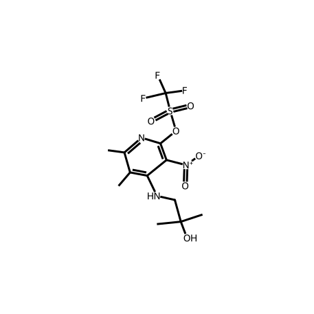 Cc1nc(OS(=O)(=O)C(F)(F)F)c([N+](=O)[O-])c(NCC(C)(C)O)c1C